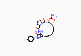 NC(=O)OC1CCCCC/C=C\C2CC2(C(=O)Nc2ccc(F)cc2)NC(=O)C2CCCN2C1=O